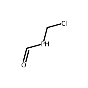 O=CPCCl